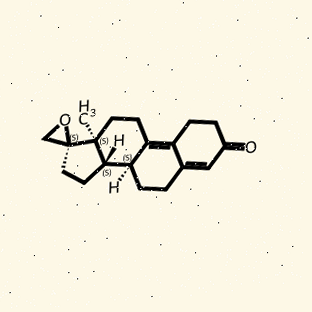 C[C@]12CCC3=C4CCC(=O)C=C4CC[C@H]3[C@@H]1CC[C@@]21CO1